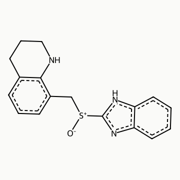 [O-][S+](Cc1cccc2c1NCCC2)c1nc2ccccc2[nH]1